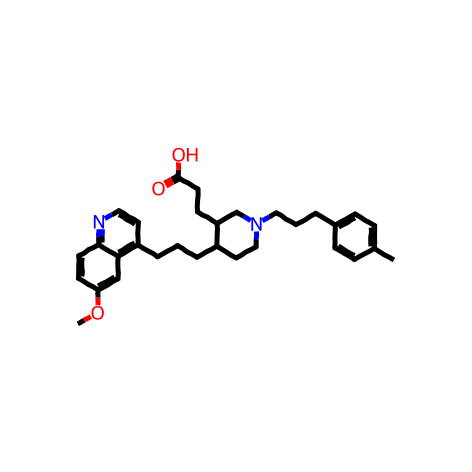 COc1ccc2nccc(CCCC3CCN(CCCc4ccc(C)cc4)CC3CCC(=O)O)c2c1